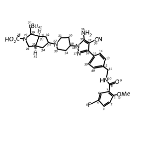 COc1ccc(F)cc1C(=O)NCc1ccc(-c2nn(C3CCN(C4C[C@H]5CN(C(=O)O)C(C(C)(C)C)[C@H]5C4)CC3)c(N)c2C#N)cc1